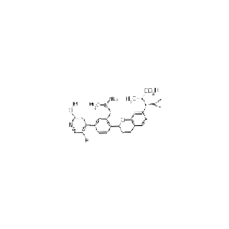 CCOc1cc(-c2ccc(C3CCc4ccc([C@H](C5CC5)[C@H](C)C(=O)O)cc4O3)c(CN(C)C(C)(C)C)c2)c(F)cn1